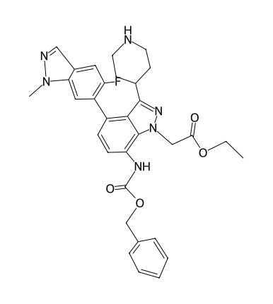 CCOC(=O)Cn1nc(C2CCNCC2)c2c(-c3cc4c(cnn4C)cc3F)ccc(NC(=O)OCc3ccccc3)c21